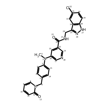 CN(c1ccc(Cn2ccccc2=O)cc1)c1cncc(C(=O)NCc2n[nH]c3ccc(Cl)cc23)c1